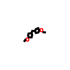 CCOC1CCC(CC2CCC(OCC)CC2)CC1